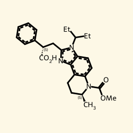 CCC(CC)n1c(C[C@H](C(=O)O)c2ccccc2)nc2c3c(ccc21)N(C(=O)OC)[C@@H](C)CC3